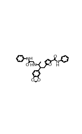 CC(NCC(=O)Nc1ccccc1)C(Cc1ccc(C(=O)Nc2ccccc2)o1)c1ccc2c(c1)OCO2